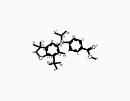 COC(=O)c1ccc(N(c2cc3c(c(C(C)(C)C)c2C)OCC3(C)C)C(C)C)cc1